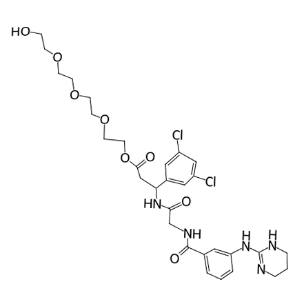 O=C(CNC(=O)c1cccc(NC2=NCCCN2)c1)NC(CC(=O)OCCOCCOCCOCCO)c1cc(Cl)cc(Cl)c1